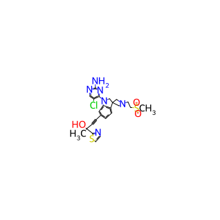 C[C@@](O)(C#Cc1ccc2c(c1)N(c1nc(N)ncc1Cl)CC21CN(CCS(C)(=O)=O)C1)c1nccs1